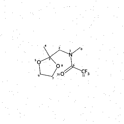 CN(CC1(C)OCCO1)C(=O)C(F)(F)F